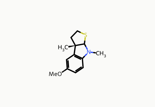 COc1ccc2c(c1)[C@]1(C)CCSC1N2C